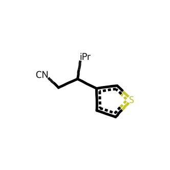 [C-]#[N+]CC(c1ccsc1)C(C)C